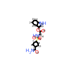 C[C@H](NS(=O)(=O)c1ccc(C(N)=O)cc1)C(=O)Oc1c[nH]c2ccccc12